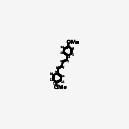 COc1ccc(C=CC=Cc2ccc(OC)cc2)cc1